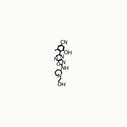 Cc1cc(C#N)cc(O)c1-c1cnc2oc(N[C@@H]3CCCN(CCO)C3)nc2n1